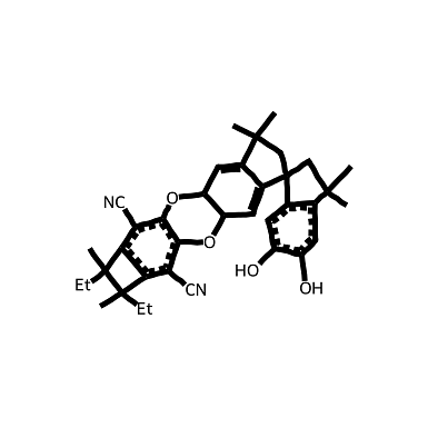 CCC1(C)c2c(C#N)c3c(c(C#N)c2C1(C)CC)OC1C=C2C(=CC1O3)C(C)(C)CC21CC(C)(C)c2cc(O)c(O)cc21